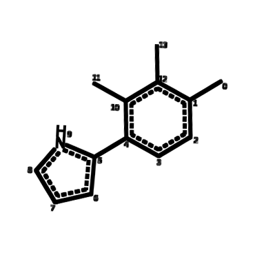 Cc1ccc(-c2ccc[nH]2)c(C)c1C